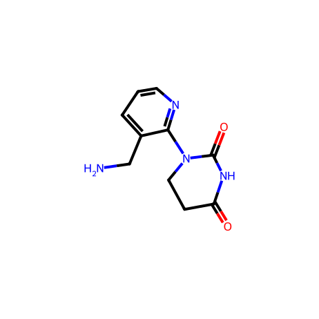 NCc1cccnc1N1CCC(=O)NC1=O